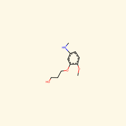 CNc1ccc(OC)c(OCCCO)c1